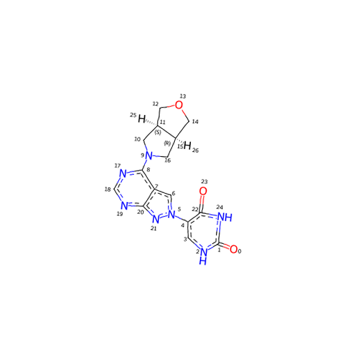 O=c1[nH]cc(-n2cc3c(N4C[C@H]5COC[C@H]5C4)ncnc3n2)c(=O)[nH]1